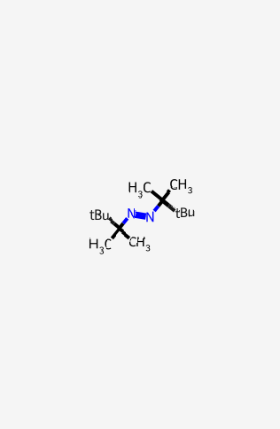 CC(C)(C)C(C)(C)N=NC(C)(C)C(C)(C)C